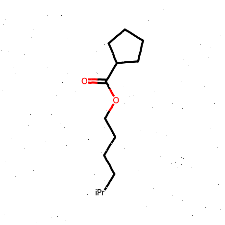 CC(C)CCCCOC(=O)C1CCCC1